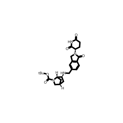 CC(C)(C)OC(=O)N1C[C@H]2C[C@H](NCc3ccc4c(c3)CN([C@@H]3CCC(=O)NC3=O)C4=O)[C@@H]1C2